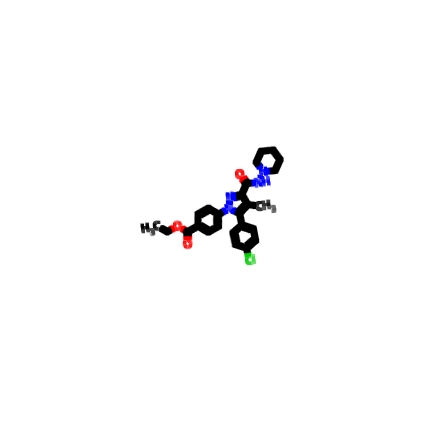 CCOC(=O)c1ccc(-n2nc(C(=O)NN3CCCCC3)c(C)c2-c2ccc(Cl)cc2)cc1